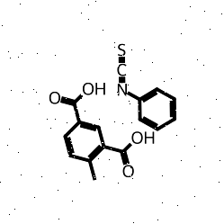 Cc1ccc(C(=O)O)cc1C(=O)O.S=C=Nc1ccccc1